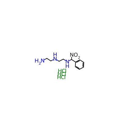 Cl.Cl.Cl.NCCNCCNC(c1ccccc1)[N+](=O)[O-]